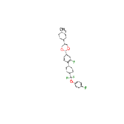 CC1CCC(C2COC(c3ccc(C4CCC(C(F)(F)Oc5ccc(F)cc5)CC4)c(F)c3)OC2)CC1